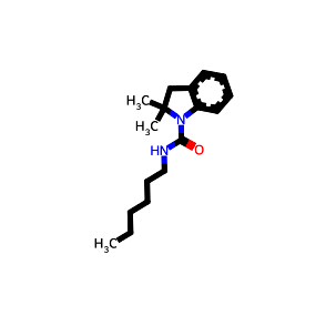 CCCCCCNC(=O)N1c2ccccc2CC1(C)C